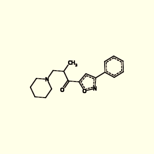 CC(CN1CCCCC1)C(=O)c1cc(-c2ccccc2)no1